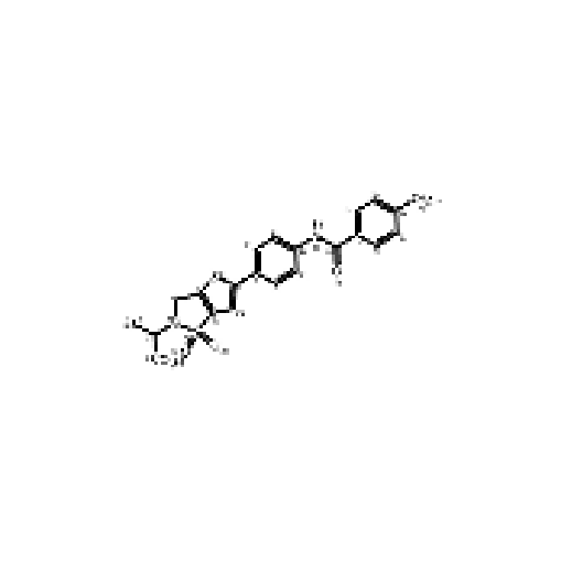 CCC(C(=O)O)N1Cc2sc(-c3ccc(NC(=O)c4ccc(OC)cc4)cc3)cc2S1(=O)=O